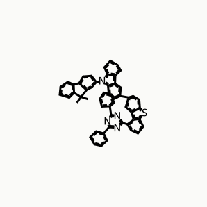 CC1(C)c2ccccc2-c2ccc(-n3c4ccccc4c4cc(-c5ccc6sc7cccc(-c8nc(-c9ccccc9)nc(-c9ccccc9)n8)c7c6c5)ccc43)cc21